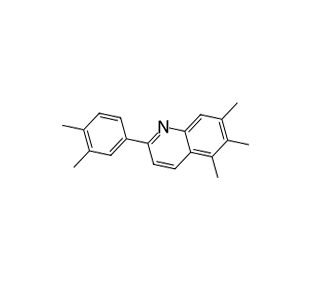 Cc1ccc(-c2ccc3c(C)c(C)c(C)cc3n2)cc1C